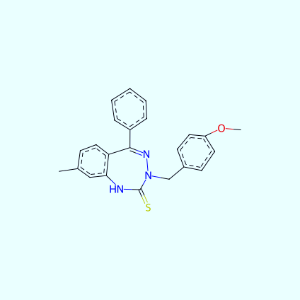 COc1ccc(CN2N=C(c3ccccc3)c3ccc(C)cc3NC2=S)cc1